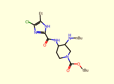 CCCCNC1CN(C(=O)OC(C)(C)C)CCC1NC(=O)c1nc(Cl)c(CC)[nH]1